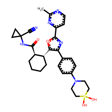 Cc1nccc(-c2nc(-c3ccc(N4CCS(O)(O)CC4)cc3)c([C@@H]3CCCC[C@H]3C(=O)NC3(C#N)CC3)o2)n1